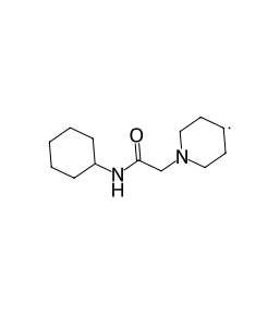 O=C(CN1CC[CH]CC1)NC1CCCCC1